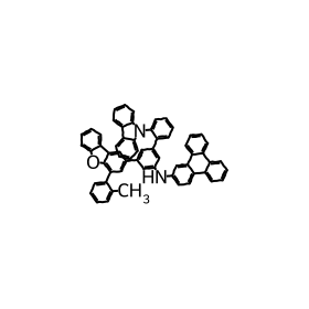 Cc1ccccc1-c1cc(-c2cc(Nc3ccc4c5ccccc5c5ccccc5c4c3)cc(-c3ccccc3-n3c4ccccc4c4ccccc43)c2)cc2c1oc1ccccc12